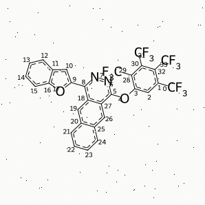 FC(F)(F)c1cc(Oc2nnc(-c3cc4ccccc4o3)c3cc4ccccc4cc23)c(C(F)(F)F)c(C(F)(F)F)c1C(F)(F)F